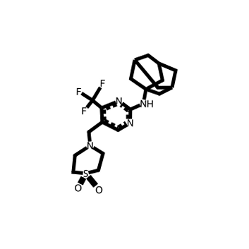 O=S1(=O)CCN(Cc2cnc(NC34CC5CC(CC(C5)C3)C4)nc2C(F)(F)F)CC1